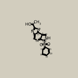 C[C@@H](O)c1nc2cnc3c(c[nH]n3S(=O)(=O)c3ccccc3)c2n1